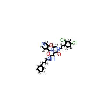 O=C(CC1C(=O)N(CCc2ccc(Cl)cc2Cl)CC(=O)N1Cc1ccncc1)NCCCc1ccccc1